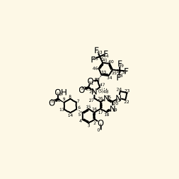 COc1ccc([C@H]2CC[C@H](C(=O)O)CC2)cc1-c1cnc(N2CCC2)nc1CN1C(=O)O[C@H](c2cc(C(F)(F)F)cc(C(F)(F)F)c2)[C@@H]1C